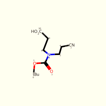 CC(C)(C)OC(=O)N(CCC#N)CCC(=O)O